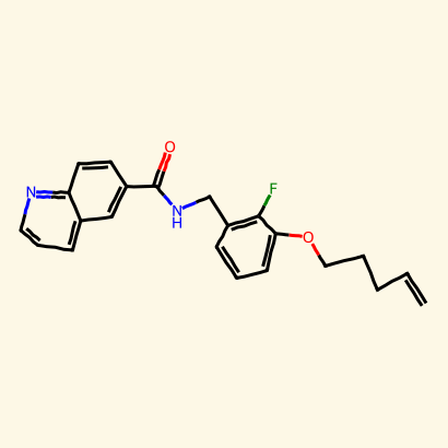 C=CCCCOc1cccc(CNC(=O)c2ccc3ncccc3c2)c1F